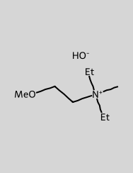 CC[N+](C)(CC)CCOC.[OH-]